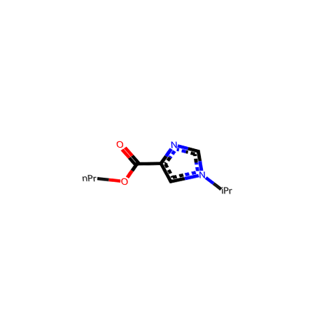 CCCOC(=O)c1cn(C(C)C)cn1